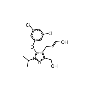 CC(C)n1nc(CO)c(CC=CO)c1Oc1cc(Cl)cc(Cl)c1